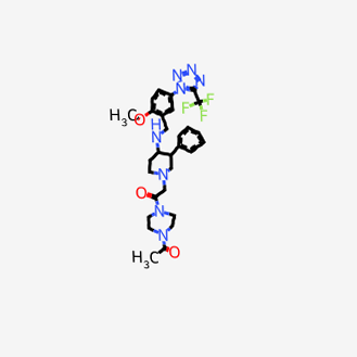 COc1ccc(-n2nnnc2C(F)(F)F)cc1CNC1CCN(CC(=O)N2CCN(C(C)=O)CC2)CC1c1ccccc1